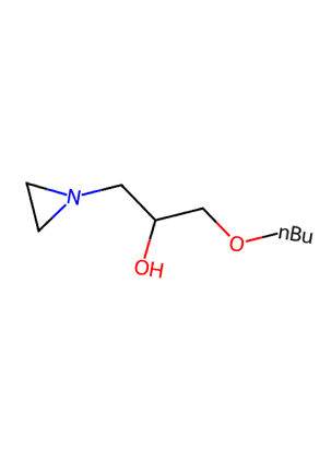 CCCCOCC(O)CN1CC1